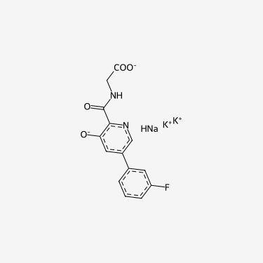 O=C([O-])CNC(=O)c1ncc(-c2cccc(F)c2)cc1[O-].[K+].[K+].[NaH]